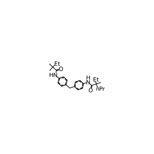 CCCC(C)(CC)C(=O)Nc1ccc(Cc2ccc(NC(=O)C(C)(C)CC)cc2)cc1